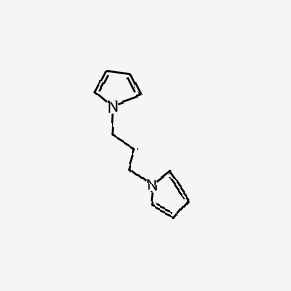 [CH](Cn1cccc1)Cn1cccc1